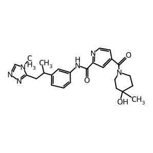 CC(Cc1nncn1C)c1cccc(NC(=O)c2cc(C(=O)N3CCC(C)(O)CC3)ccn2)c1